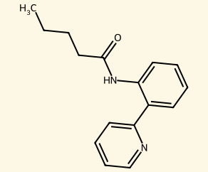 CCCCC(=O)Nc1ccccc1-c1ccccn1